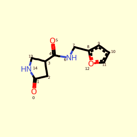 O=C1CC(C(=O)NCc2ccco2)CN1